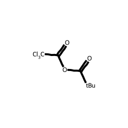 CC(C)(C)C(=O)OC(=O)C(Cl)(Cl)Cl